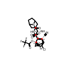 N#C[C@@H]1C[C@@H]2C[C@@]2(OC(=O)C(F)(F)F)N1C(=O)[C@@H](N)C1CC2CCC(C1)N2C(=O)NS(=O)(=O)c1ccc(Cl)cc1